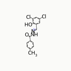 Cc1ccc(C(=O)N/N=C/c2cc(Cl)cc(Cl)c2O)cc1